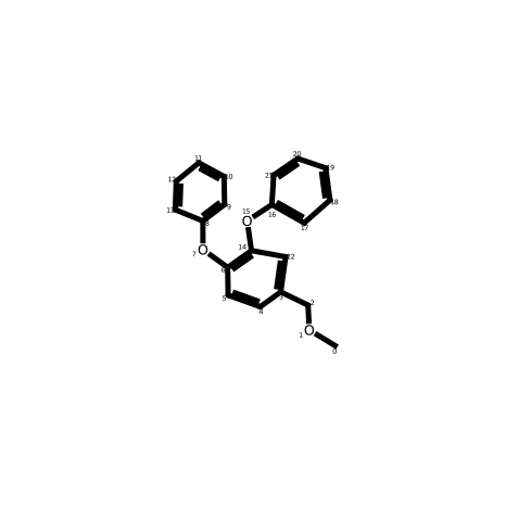 COCc1ccc(Oc2ccccc2)c(Oc2ccccc2)c1